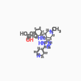 CN1CCC(Nc2cccc(C(=O)O)c2)(c2nnc(-c3ccncc3)[nH]2)CC1.O=CO